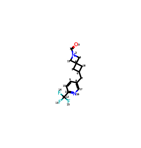 O=CN1CC2(CC(Cc3ccc(C(F)(F)F)nc3)C2)C1